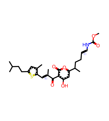 COC(=O)N/C=C/CCC(C)c1cc(O)c(C(=O)/C(C)=C/c2sc(CCC(C)C)cc2C)c(=O)o1